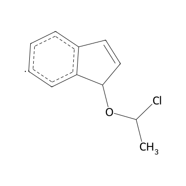 CC(Cl)OC1C=Cc2cc[c]cc21